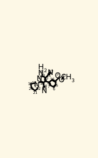 COC(=O)c1cccc(-c2c(C#N)c(N)nc(N3CCCCC3)c2C#N)c1